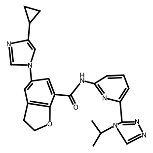 CC(C)n1cnnc1-c1cccc(NC(=O)c2cc(-n3cnc(C4CC4)c3)cc3c2OCC3)n1